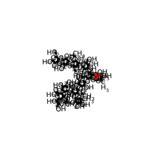 CC(=O)N[C@H]1[C@H](O[C@H]2[C@@H](O)[C@@H](CO)O[C@@H](O[C@H]3[C@H](O)[C@@H](O)[C@H](O)O[C@@H]3CO)[C@@H]2O)O[C@H](CO)[C@@H](O[C@@H]2O[C@H](CO)[C@H](O)[C@H](O[C@@H]3O[C@H](CO)[C@@H](O[C@@H]4O[C@H](CO)[C@H](O)[C@H](O[C@@H]5O[C@H](CO)[C@@H](O[C@@H]6O[C@H](CO)[C@H](O)[C@H](O[C@]7(C(=O)O)C[C@H](O)[C@@H](NC(C)=O)[C@H]([C@H](O)[C@H](O)CO)O7)[C@H]6O)[C@H](O[C@@H]6O[C@@H](C)[C@@H](O)[C@@H](O)[C@@H]6O)[C@H]5NC(C)=O)[C@H]4O)[C@H](O[C@@H]4O[C@@H](C)[C@@H](O)[C@@H](O)[C@@H]4O)[C@H]3NC(C)=O)[C@H]2O)[C@@H]1O